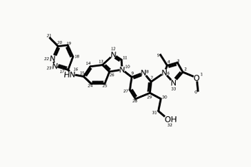 COc1cc(C)n(-c2nc(-n3cnc4cc(Nc5ccc(C)nn5)ccc43)ccc2CCO)n1